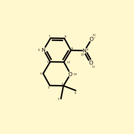 CC1(C)CCc2nccc([N+](=O)[O-])c2O1